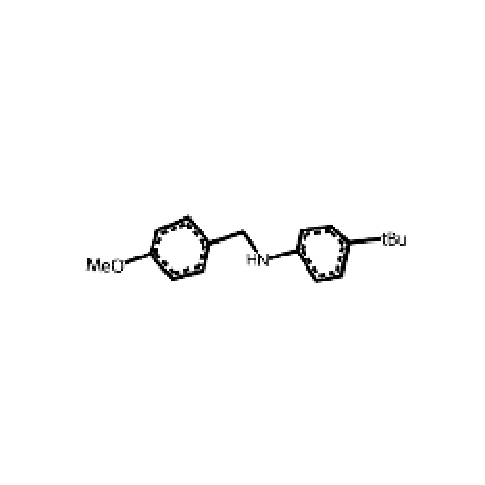 COc1ccc(CNc2ccc(C(C)(C)C)cc2)cc1